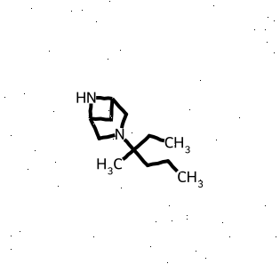 CCCC(C)(CC)N1CC2CC(C1)N2